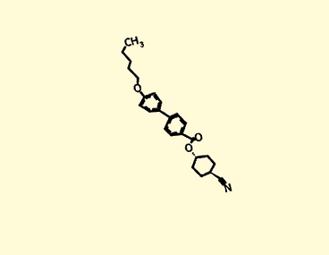 CCCCCOc1ccc(-c2ccc(C(=O)O[C@H]3CC[C@H](C#N)CC3)cc2)cc1